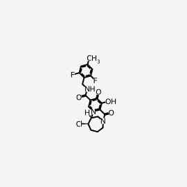 Cc1cc(F)c(CNC(=O)c2cn3c(c(O)c2=O)C(=O)N2CCC[C@@H](Cl)[C@H]3C2)c(F)c1